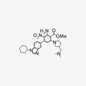 COC(=O)c1c(N2CCC(CN(C)C)C2)cc(-c2ccc3c(c2)ncn3C2CCCCC2)c([N+](=O)[O-])c1N